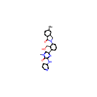 Cn1cc(-c2cccc(N3Cc4cc(C(C)(C)C)ccc4C3=O)c2CO)nc(Nc2cccnc2)c1=O